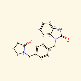 O=C1CCCN1Cc1ccc(Cn2c(=O)[nH]c3ccccc32)cc1